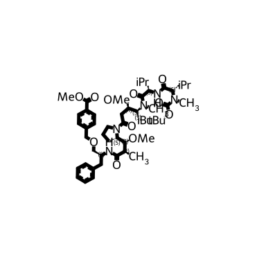 CC[C@H](C)[C@@H]([C@@H](CC(=O)N1CCC[C@H]1[C@H](OC)[C@@H](C)C(=O)N[C@H](COCc1ccc(C(=O)OC)cc1)Cc1ccccc1)OC)N(C)C(=O)[C@@H](NC(=O)[C@H](C(C)C)N(C)C(=O)OC(C)(C)C)C(C)C